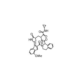 COc1cccc2[nH]c(C(=O)N3CCc4ccccc4C3C(=O)NC(CC3CCNC3=O)C(=O)C(=O)NC3CC3)cc12